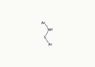 CC(=O)NSC(C)=O